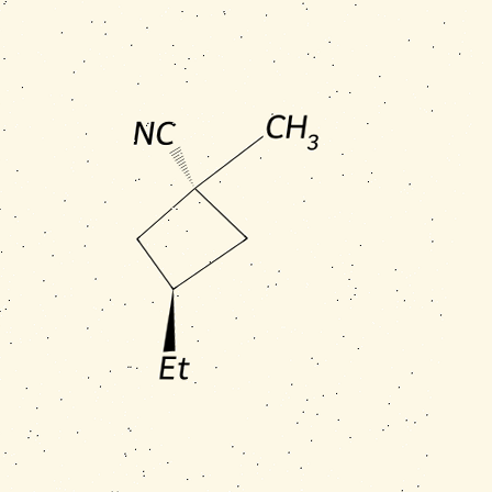 CC[C@H]1C[C@](C)(C#N)C1